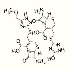 COCc1nc(SCC2=C(C(=O)O)N3C(=O)C(N)[C@@H]3SC2)n[nH]1.NC1C(=O)N2C(C(=O)O)=C(CSc3n[nH]c(O)n3)CS[C@@H]12